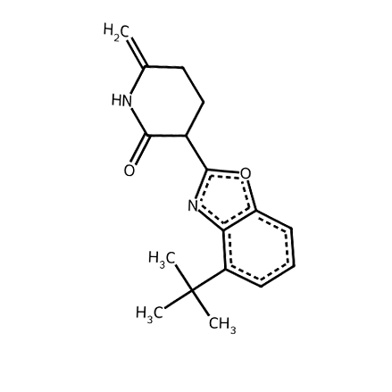 C=C1CCC(c2nc3c(C(C)(C)C)cccc3o2)C(=O)N1